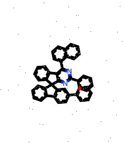 c1ccc(-c2ccc3c(c2)C2(c4ccccc4-3)c3ccccc3-c3c(-c4cccc5ccccc45)nc(-c4ccccc4)nc32)cc1